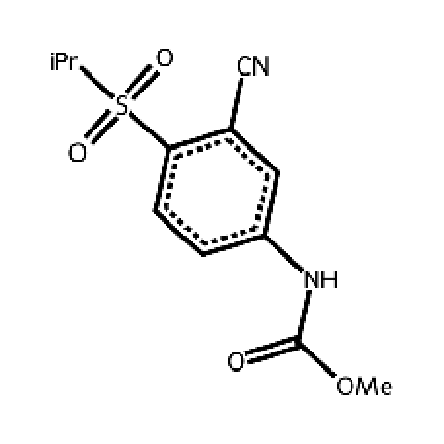 COC(=O)Nc1ccc(S(=O)(=O)C(C)C)c(C#N)c1